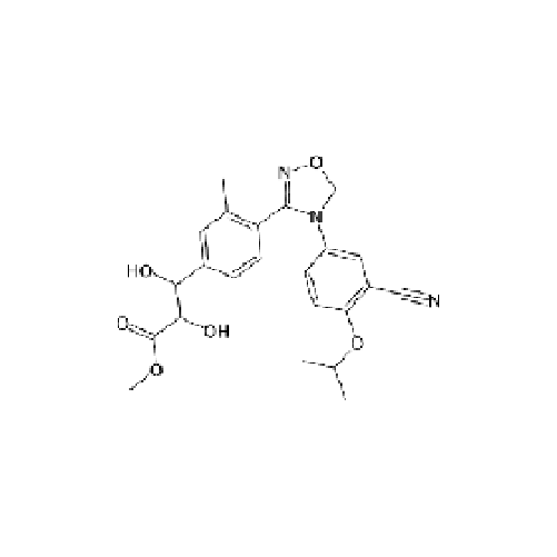 COC(=O)C(O)C(O)c1ccc(C2=NOCN2c2ccc(OC(C)C)c(C#N)c2)c(C)c1